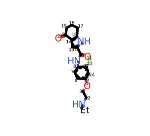 CCNCCOc1ccc(NC(=O)c2cc3c([nH]2)CCCC3=O)c(F)c1